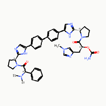 CCN(CC)[C@@H](C(=O)N1CCC[C@H]1c1ncc(-c2ccc(-c3ccc(-c4cnc([C@@H]5CCCN5C(=O)[C@H](Cc5cn(C)cn5)OC(N)=O)[nH]4)cc3)cc2)[nH]1)c1ccccc1